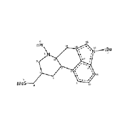 CCCN1CC(CSC)CC2c3cccc4c3c(cn4C(C)(C)C)CC21